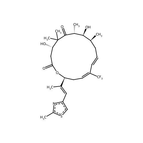 C/C(=C\c1csc(C)n1)[C@@H]1C/C=C(C(F)(F)F)\C=C\C[C@H](C)[C@H](O)[C@@H](C)C(=O)C(C)(C)[C@@H](O)CC(=O)O1